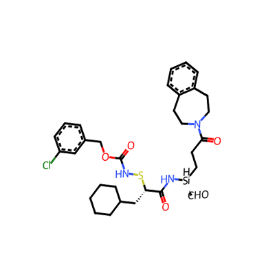 O=C[Si@H](CCC(=O)N1CCc2ccccc2CC1)NC(=O)[C@H](CC1CCCCC1)SNC(=O)OCc1cccc(Cl)c1